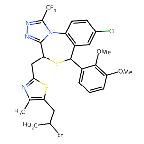 CCC(Cc1sc(CC2SC(c3cccc(OC)c3OC)c3cc(Cl)ccc3-n3c2nnc3C(F)(F)F)nc1C)C(=O)O